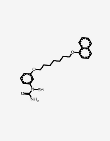 NC(=O)N(S)c1cccc(OCCCCCCCOc2cccc3ccccc23)c1